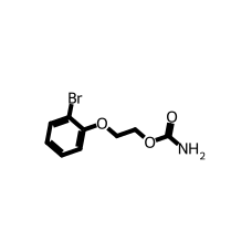 NC(=O)OCCOc1ccccc1Br